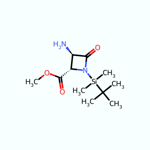 COC(=O)[C@@H]1[C@@H](N)C(=O)N1[Si](C)(C)C(C)(C)C